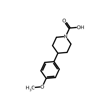 COc1ccc(C2CCN(C(=O)O)CC2)cc1